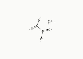 O=C([O-])C(=O)[O-].[Zn+2]